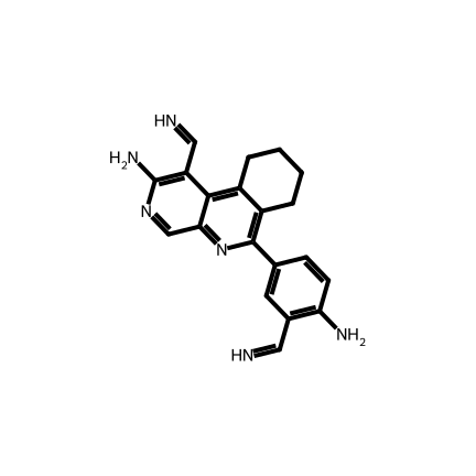 N=Cc1cc(-c2nc3cnc(N)c(C=N)c3c3c2CCCC3)ccc1N